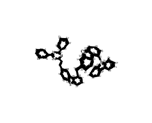 c1ccc(-c2nc(CCc3ccc4sc5cccc(Cc6ccc7c(c6)oc6cccc(-n8c9ccccc9c9ccccc98)c67)c5c4c3)nc(-c3ccccc3)n2)cc1